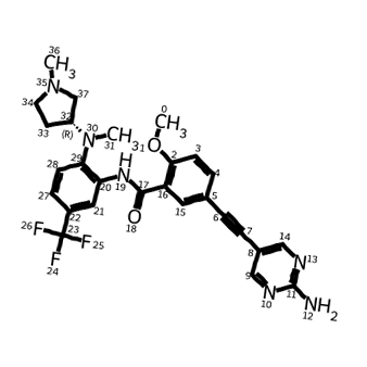 COc1ccc(C#Cc2cnc(N)nc2)cc1C(=O)Nc1cc(C(F)(F)F)ccc1N(C)[C@@H]1CCN(C)C1